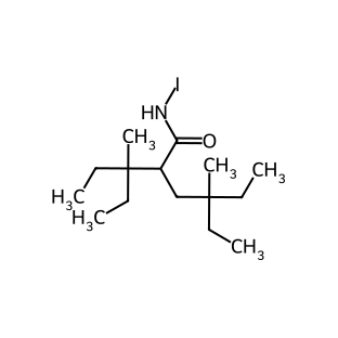 CCC(C)(CC)CC(C(=O)NI)C(C)(CC)CC